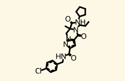 CCCN1C(=O)c2cc(C(=O)NCc3ccc(Cl)cc3)nn2CC1(C)C(=O)NC1CCCC1